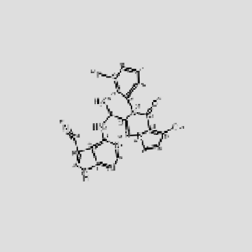 CC(Nc1ncnc2[nH]cc(C#N)c12)c1nn2ccc(Cl)c2c(=O)n1-c1cccc(F)c1